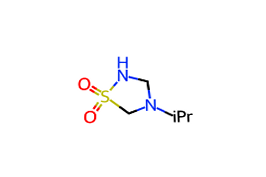 CC(C)N1CNS(=O)(=O)C1